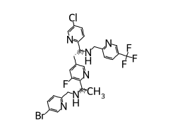 C[C@@H](NCc1ccc(Br)cn1)c1ncc(C[C@@H](NCc2ccc(C(F)(F)F)cn2)c2ccc(Cl)cn2)cc1F